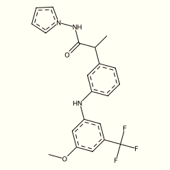 COc1cc(Nc2cccc(C(C)C(=O)Nn3cccc3)c2)cc(C(F)(F)F)c1